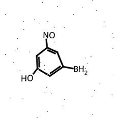 Bc1cc(O)cc(N=O)c1